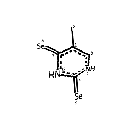 Cc1c[nH]c(=[Se])[nH]c1=[Se]